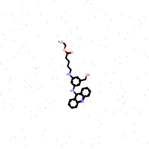 CCOC(=O)CCCCNc1cc(CO)cc(Nc2c3ccccc3nc3ccccc23)c1